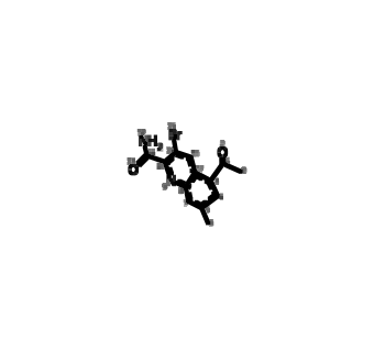 CC(=O)c1cc(C)cc2nc(C(N)=O)c(Br)cc12